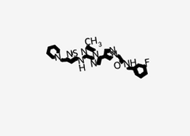 Cc1cn2c(-c3cnn(CC(=O)NCC4=CC=CC(F)C4)c3)cnc2c(Nc2cc(CN3CCCCC3)ns2)n1